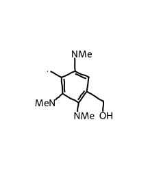 [CH2]c1c(NC)cc(CO)c(NC)c1NC